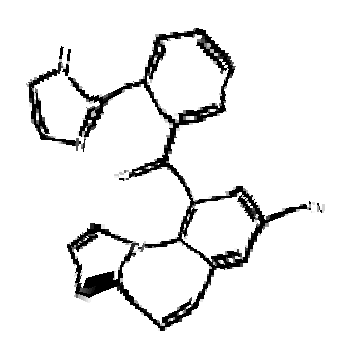 N#Cc1cc(C(=O)c2ccccc2-c2ncc[nH]2)c2c(ccc3cccn32)c1